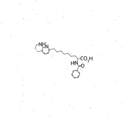 O=C(NC(CCCCCCCc1ccc2c(n1)NCCC2)C(=O)O)c1ccccc1